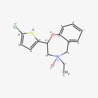 CC[N+]1([O-])Cc2ccccc2OC(c2ccc(Cl)s2)C1